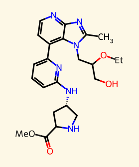 CCOC(CO)Cn1c(C)nc2nccc(-c3cccc(N[C@@H]4CNC(C(=O)OC)C4)n3)c21